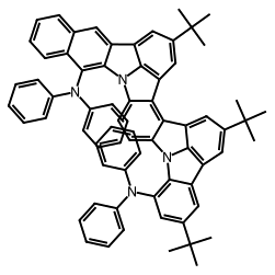 CC(C)(C)c1cc(N(c2ccccc2)c2ccccc2)c2c(c1)c1cc(C(C)(C)C)cc3c4c5c6cc(C(C)(C)C)cc7c8cc9ccccc9c(N(c9ccccc9)c9ccccc9)c8n(c5ccc4n2c13)c76